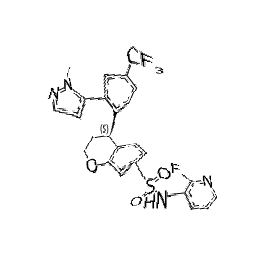 Cn1nccc1-c1cc(C(F)(F)F)ccc1[C@@H]1CCOc2cc(S(=O)(=O)Nc3cccnc3F)ccc21